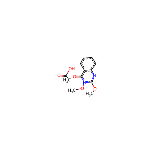 CC(=O)O.COc1nc2ccccc2c(=O)n1OC